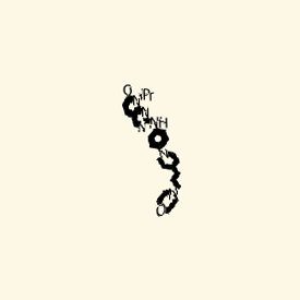 CC(C)n1c(=O)ccc2cnc(Nc3ccc(N4CCC(CCCN5CCOCC5)CC4)cc3)nc21